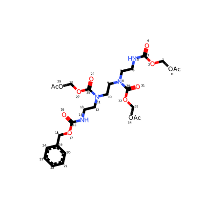 CC(=O)OCOC(=O)NCCN(CCN(CCNC(=O)OCc1ccccc1)C(=O)OCOC(C)=O)C(=O)OCOC(C)=O